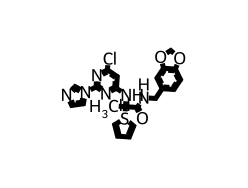 CC(Nc1cc(Cl)nc(-n2ccnc2)n1)(C(=O)NCc1ccc2c(c1)OCO2)[SH]1C=CC=C1